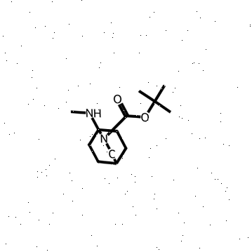 CNC12CCC(CC1)CN2C(=O)OC(C)(C)C